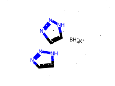 [BH4-].[K+].c1c[nH]nn1.c1c[nH]nn1